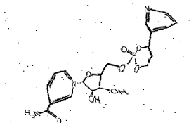 NC(=O)c1ccc[n+]([C@@H]2OC(COP3(=O)OCCC(c4cccnc4)O3)[C@@H](O)[C@H]2O)c1